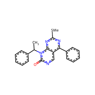 CSc1nc(-c2ccccc2)c2cnc(=O)n(C(C)c3ccccc3)c2n1